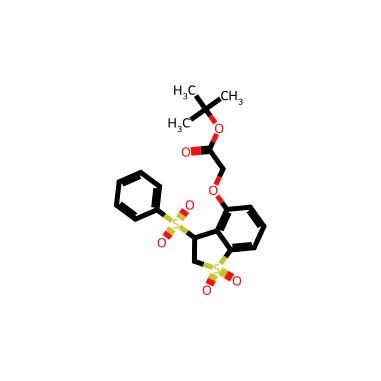 CC(C)(C)OC(=O)COc1cccc2c1C(S(=O)(=O)c1ccccc1)CS2(=O)=O